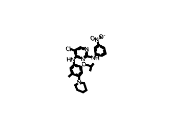 Cc1cc(Nc2nc(Nc3cccc([N+](=O)[O-])c3)ncc2Cl)c(OC(C)C)cc1N1CCCCC1